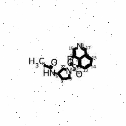 CCC(=O)N[C@@H]1CCN(S(=O)(=O)c2cccc3cncc(F)c23)C1